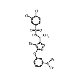 CCn1c(Oc2cccc(N(C(C)C)C(C)C)c2)nnc1[C@@H](C)NS(=O)(=O)c1ccc(Cl)c(Cl)c1